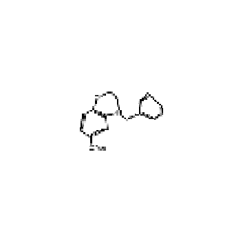 COc1ccc2c(c1)N(Cc1ccccc1)CCO2